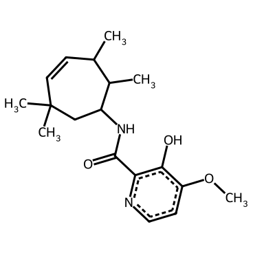 COc1ccnc(C(=O)NC2CC(C)(C)C=CC(C)C2C)c1O